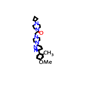 COc1ccc(-c2ccc(N3CCN(CC(=O)N4CCN(C5CCC5)CC4)CC3)nn2)c(C)c1